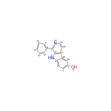 Oc1ccc2[nH]c3c(-c4ccccc4)nccc3c2c1